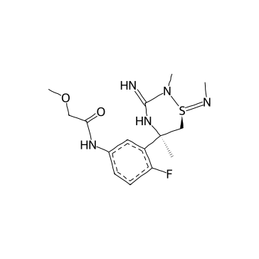 C/N=[S@]1/C[C@@](C)(c2cc(NC(=O)COC)ccc2F)NC(=N)N1C